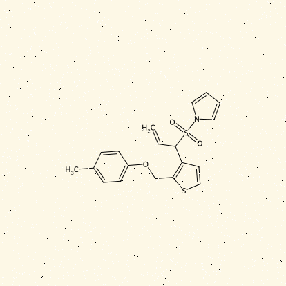 C=CC(c1ccsc1COc1ccc(C)cc1)S(=O)(=O)n1cccc1